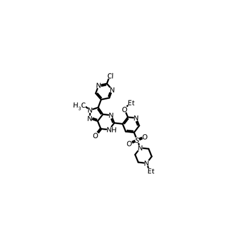 CCOc1ncc(S(=O)(=O)N2CCN(CC)CC2)cc1-c1nc2c(-c3cnc(Cl)nc3)n(C)nc2c(=O)[nH]1